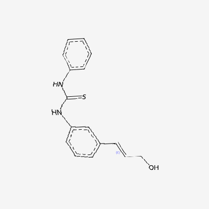 OC/C=C/c1cccc(NC(=S)Nc2ccccc2)c1